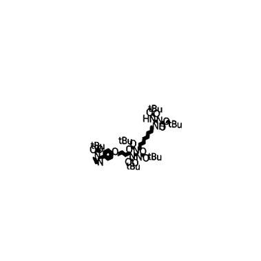 CC(C)(C)OC(=O)/N=C(\NCCCCCCCCN(C(=O)OC(C)(C)C)/C(=N\C(=O)OC(C)(C)C)N(CCCCOc1ccc(C2=NCCN2C(=O)OC(C)(C)C)cc1)C(=O)OC(C)(C)C)NC(=O)OC(C)(C)C